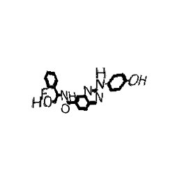 O=C(NC(CO)c1ccccc1F)c1ccc2cnc(N[C@H]3CC[C@H](O)CC3)nc2c1